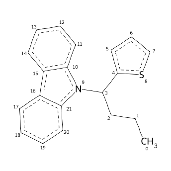 CCCC(c1cccs1)n1c2ccccc2c2ccccc21